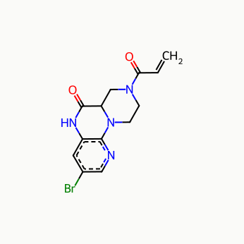 C=CC(=O)N1CCN2c3ncc(Br)cc3NC(=O)C2C1